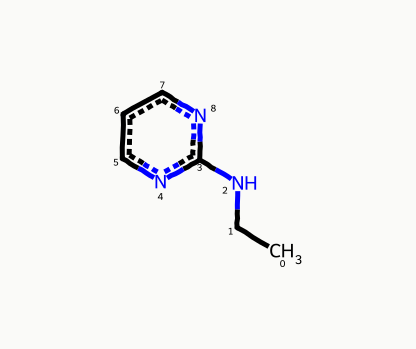 CCNc1ncccn1